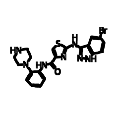 O=C(Nc1ccccc1N1CCNCC1)c1csc(Nc2n[nH]c3ccc(Br)cc23)n1